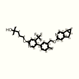 CC(C)(O)CCCOc1cc(C(F)(F)F)c(-c2ccc(F)c(COc3cc4c(cn3)C3CC3C4)c2)cn1